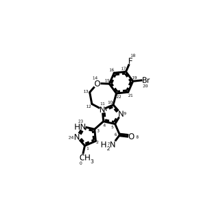 Cc1cc(-c2c(C(N)=O)nc3n2CCOc2cc(F)c(Br)cc2-3)[nH]n1